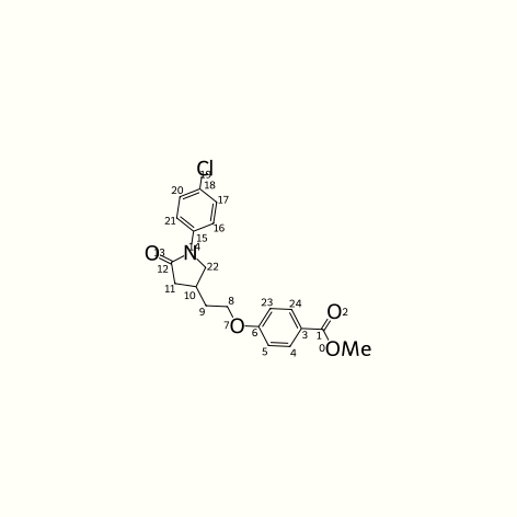 COC(=O)c1ccc(OCCC2CC(=O)N(c3ccc(Cl)cc3)C2)cc1